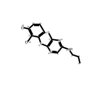 CCCNc1cnc(Sc2cccc(Cl)c2Cl)c(C)n1